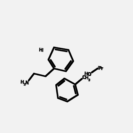 CC(C)O.Cc1ccccc1.I.NCCc1ccccc1